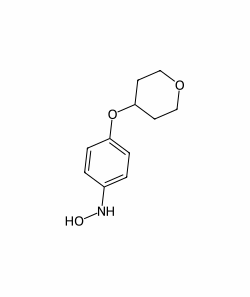 ONc1ccc(OC2CCOCC2)cc1